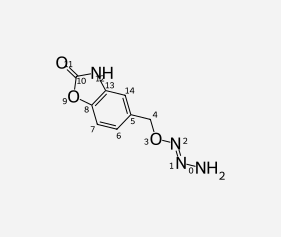 NN=NOCc1ccc2oc(=O)[nH]c2c1